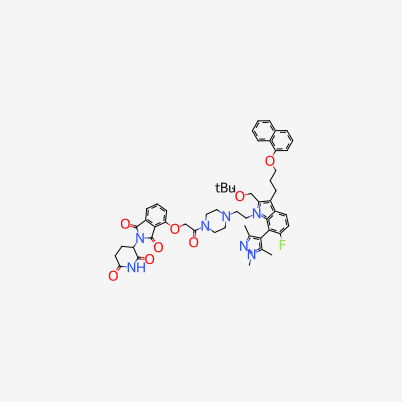 Cc1nn(C)c(C)c1-c1c(F)ccc2c(CCCOc3cccc4ccccc34)c(COC(C)(C)C)n(CCN3CCN(C(=O)COc4cccc5c4C(=O)N(C4CCC(=O)NC4=O)C5=O)CC3)c12